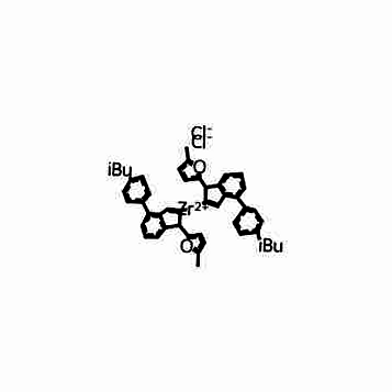 CCC(C)c1ccc(-c2cccc3c2C=[C]([Zr+2][C]2=Cc4c(-c5ccc(C(C)CC)cc5)cccc4C2c2ccc(C)o2)C3c2ccc(C)o2)cc1.[Cl-].[Cl-]